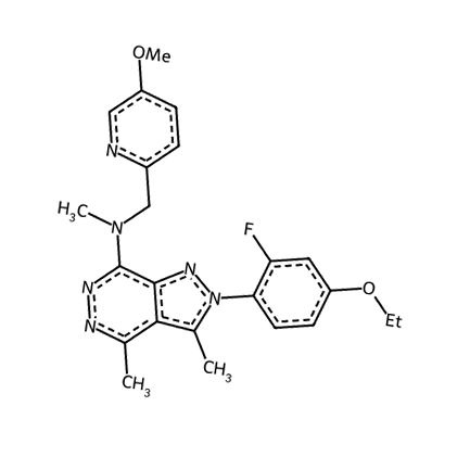 CCOc1ccc(-n2nc3c(N(C)Cc4ccc(OC)cn4)nnc(C)c3c2C)c(F)c1